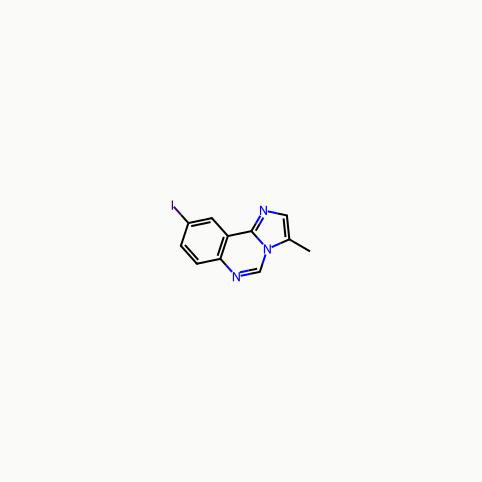 Cc1cnc2c3cc(I)ccc3ncn12